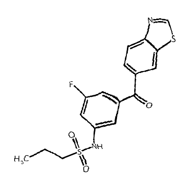 CCCS(=O)(=O)Nc1cc(F)cc(C(=O)c2ccc3ncsc3c2)c1